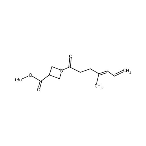 C=C/C=C(\C)CCC(=O)N1CC(C(=O)OC(C)(C)C)C1